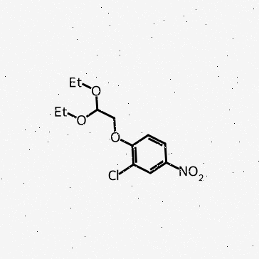 CCOC(COc1ccc([N+](=O)[O-])cc1Cl)OCC